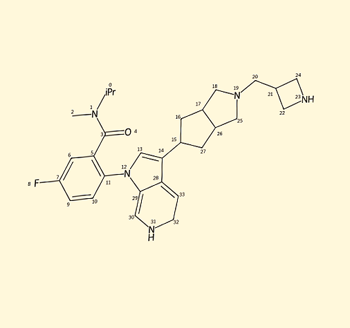 CC(C)N(C)C(=O)c1cc(F)ccc1-n1cc(C2CC3CN(CC4CNC4)CC3C2)c2c1=CNCC=2